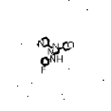 CN1CCCC(c2nc(Nc3cccc(F)c3)cc(C3CCOCC3)n2)C1